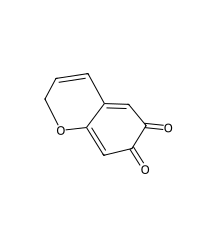 O=C1C=C2C=CCOC2=CC1=O